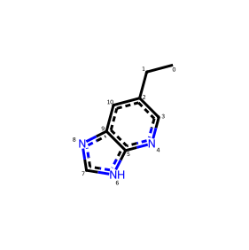 CCc1cnc2[nH]cnc2c1